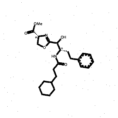 COC(=O)[C@H]1COC(C(O)[C@H](CCc2ccccc2)NC(=O)CCC2CCCCC2)=N1